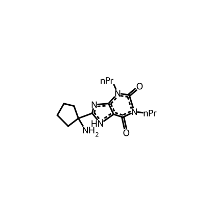 CCCn1c(=O)c2[nH]c(C3(N)CCCC3)nc2n(CCC)c1=O